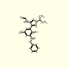 CC(C)n1cc(NC=O)c(-c2cc(Cl)cc(NCc3ccccc3)c2F)n1